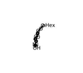 CCCCCCOCCOCCOc1ccc(C(=O)Oc2ccc3cc(-c4ncc(O)cn4)ccc3c2)cc1